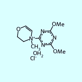 COc1nc(OC)nc([N+]2(C)C=COCC2)n1.O.[Cl-]